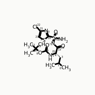 CC(C)C[C@H](NC(=O)OC(C)(C)C)C(=O)N=S(N)(=O)c1nc(Cl)cs1